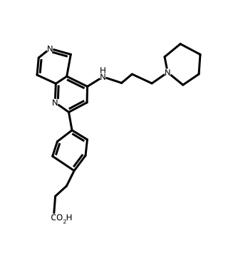 O=C(O)CCc1ccc(-c2cc(NCCCN3CCCCC3)c3cnccc3n2)cc1